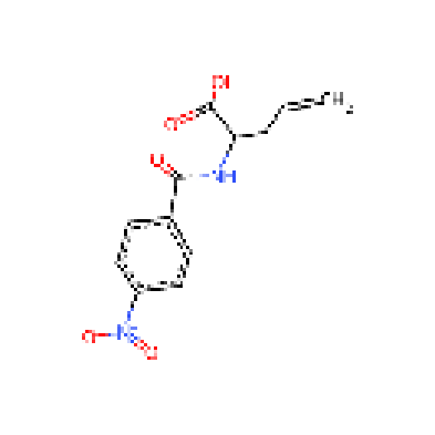 C=CCC(NC(=O)c1ccc([N+](=O)[O-])cc1)C(=O)O